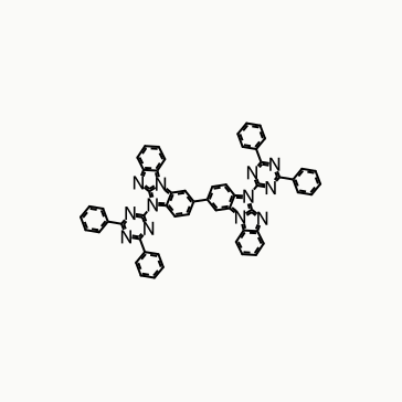 c1ccc(-c2nc(-c3ccccc3)nc(-n3c4ccc(-c5ccc6c(c5)n5c7ccccc7nc5n6-c5nc(-c6ccccc6)nc(-c6ccccc6)n5)cc4n4c5ccccc5nc34)n2)cc1